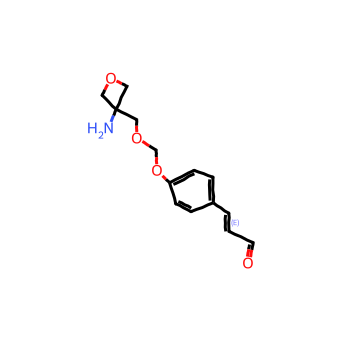 NC1(COCOc2ccc(/C=C/C=O)cc2)COC1